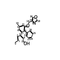 CC=CC(=CCO)c1cc(C)cc(OCc2cocn2)c1-c1ccccc1